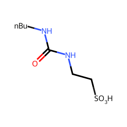 CCCCNC(=O)NCCS(=O)(=O)O